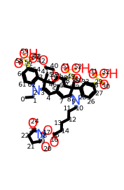 CCN1/C(=C/C(C)=C/C2=[N+](CCCCCC(=O)ON3C(=O)CCC3=O)c3ccc(S(=O)(=O)O)cc3C2(C)CCOCCOC)C(C)(CCCS(=O)(=O)O)c2cc(S(=O)(=O)O)ccc21